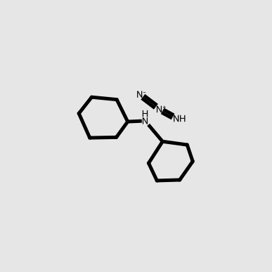 C1CCC(NC2CCCCC2)CC1.[N-]=[N+]=N